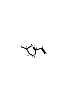 C=CC1=NC(C)CS1